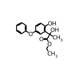 CCOC(=O)C(C)(O)c1cc(Oc2ccccc2)ccc1O